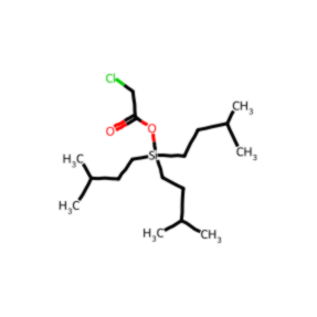 CC(C)CC[Si](CCC(C)C)(CCC(C)C)OC(=O)CCl